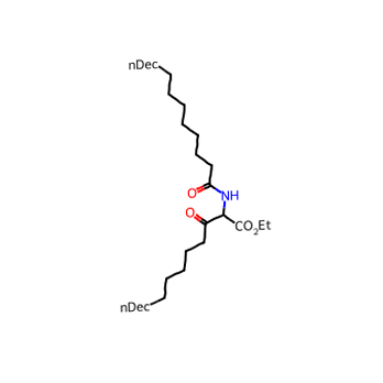 CCCCCCCCCCCCCCCCCC(=O)NC(C(=O)CCCCCCCCCCCCCCC)C(=O)OCC